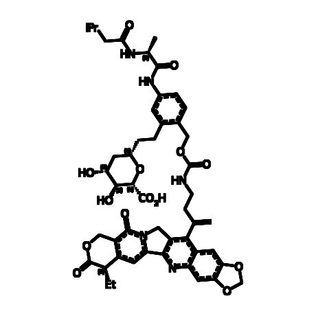 C=C(CCNC(=O)OCc1ccc(NC(=O)[C@H](C)NC(=O)CC(C)C)cc1CC[C@H]1C[C@@H](O)[C@H](O)[C@@H](C(=O)O)O1)c1c2c(nc3cc4c(cc13)OCO4)-c1cc3c(c(=O)n1C2)COC(=O)[C@@H]3CC